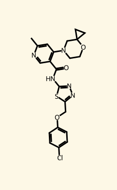 Cc1cc(N2CCOC3(CC3)C2)c(C(=O)Nc2nnc(COc3ccc(Cl)cc3)s2)cn1